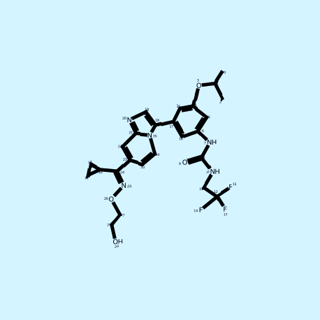 CC(C)Oc1cc(NC(=O)NCC(F)(F)F)cc(-c2cnc3cc(C(=NOCCO)C4CC4)ccn23)c1